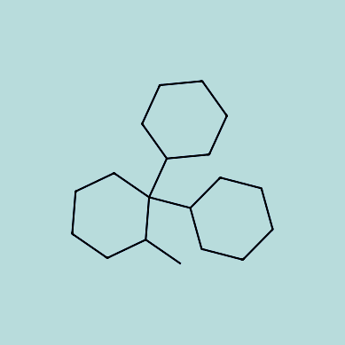 CC1CCCCC1(C1CCCCC1)C1CCCCC1